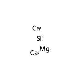 [Ca].[Ca].[Mg].[Si]